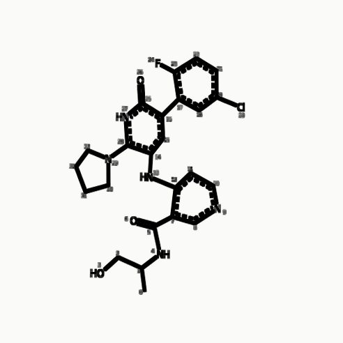 CC(CO)NC(=O)c1cnccc1Nc1cc(-c2cc(Cl)ccc2F)c(=O)[nH]c1N1CCCC1